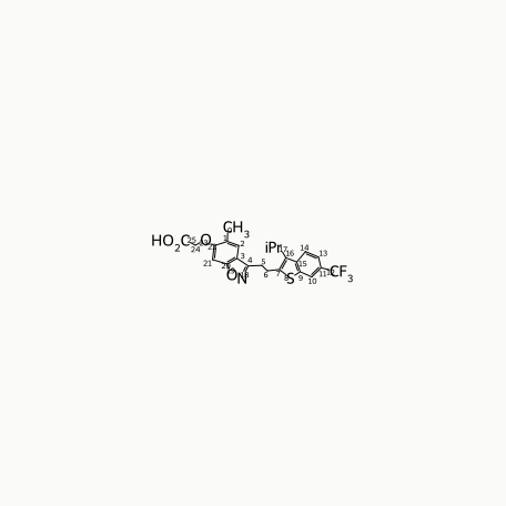 Cc1cc2c(CCc3sc4cc(C(F)(F)F)ccc4c3C(C)C)noc2cc1OCC(=O)O